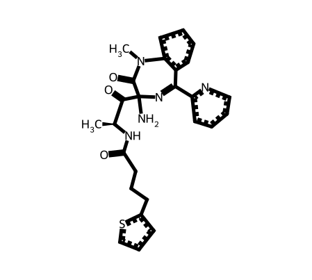 C[C@H](NC(=O)CCCc1cccs1)C(=O)C1(N)N=C(c2ccccn2)c2ccccc2N(C)C1=O